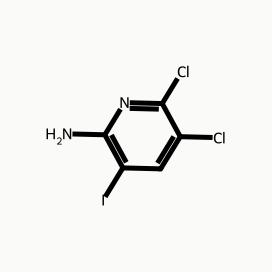 Nc1nc(Cl)c(Cl)cc1I